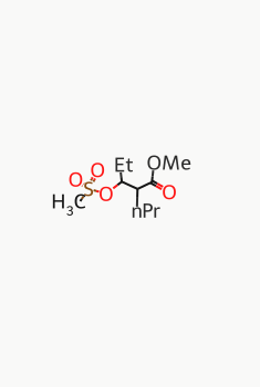 CCCC(C(=O)OC)C(CC)OS(C)(=O)=O